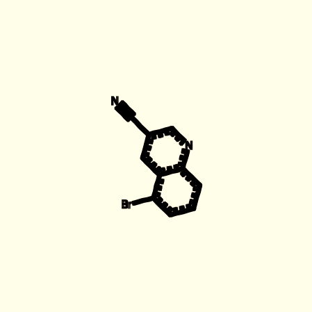 N#Cc1cnc2cccc(Br)c2c1